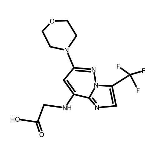 O=C(O)CNc1cc(N2CCOCC2)nn2c(C(F)(F)F)cnc12